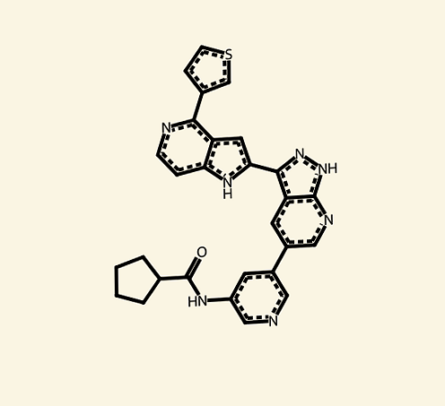 O=C(Nc1cncc(-c2cnc3[nH]nc(-c4cc5c(-c6ccsc6)nccc5[nH]4)c3c2)c1)C1CCCC1